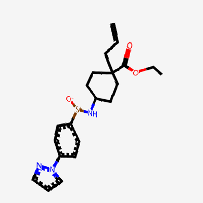 C=CCC1(C(=O)OCC)CCC(N[S+]([O-])c2ccc(-n3cccn3)cc2)CC1